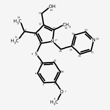 COc1ccc(Sc2c(C(C)C)c(CO)c(C)n2Cc2ccncc2)cc1